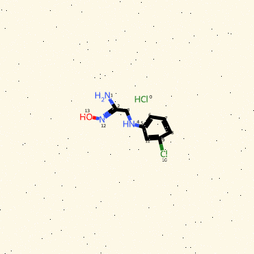 Cl.NC(CNc1cccc(Cl)c1)=NO